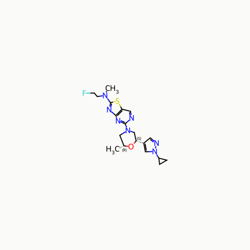 C[C@@H]1CN(c2ncc3sc(N(C)CCF)nc3n2)C[C@H](c2cnn(C3CC3)c2)O1